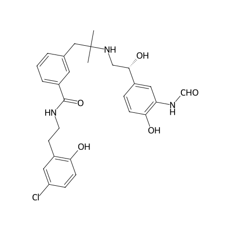 CC(C)(Cc1cccc(C(=O)NCCc2cc(Cl)ccc2O)c1)NC[C@H](O)c1ccc(O)c(NC=O)c1